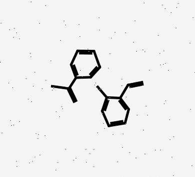 C=C(C)c1ccccc1.C=Cc1ccccc1C